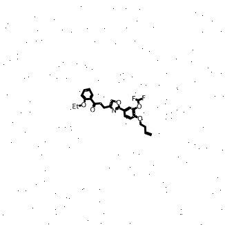 C=CCCOc1ccc(-c2nc(CCC(=O)c3ccccc3OCC)co2)cc1OC(F)F